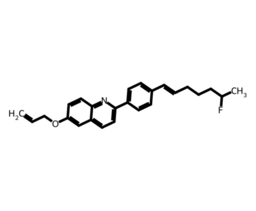 C=CCOc1ccc2nc(-c3ccc(C=CCCCC(C)F)cc3)ccc2c1